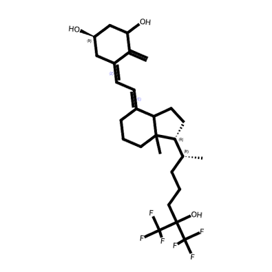 C=C1/C(=C\C=C2/CCCC3(C)C2CC[C@@H]3[C@H](C)CCCC(O)(C(F)(F)F)C(F)(F)F)C[C@@H](O)CC1O